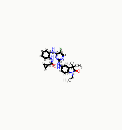 CCN1C(=O)C(C)(C)c2cc(Nc3ncc(F)c(Nc4ccccc4NC(=O)C4CC4)n3)ccc21